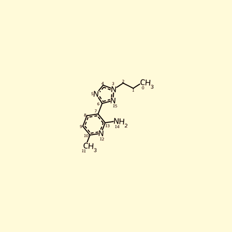 CCCn1cnc(-c2ccc(C)nc2N)n1